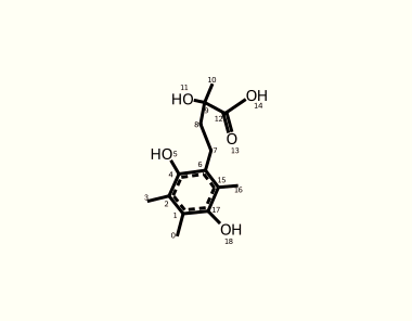 Cc1c(C)c(O)c(CCC(C)(O)C(=O)O)c(C)c1O